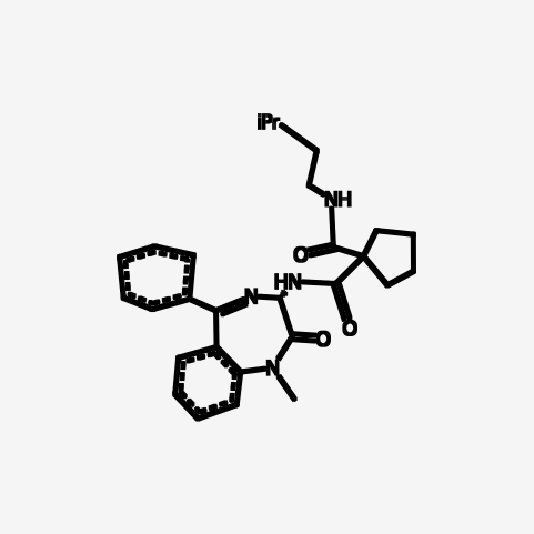 CC(C)CCNC(=O)C1(C(=O)N[C@H]2N=C(c3ccccc3)c3ccccc3N(C)C2=O)CCCC1